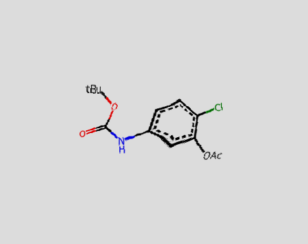 CC(=O)Oc1cc(NC(=O)OC(C)(C)C)ccc1Cl